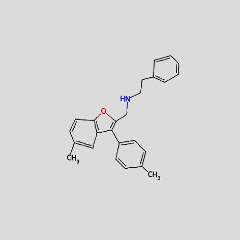 Cc1ccc(-c2c(CNCCc3ccccc3)oc3ccc(C)cc23)cc1